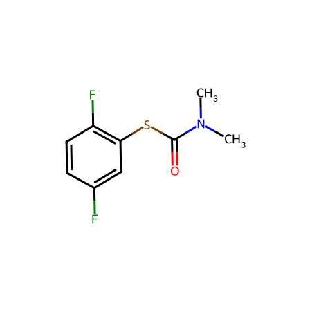 CN(C)C(=O)Sc1cc(F)ccc1F